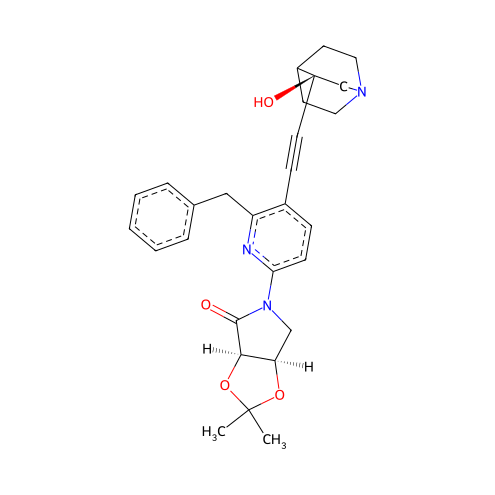 CC1(C)O[C@@H]2CN(c3ccc(C#C[C@@]4(O)CN5CCC4CC5)c(Cc4ccccc4)n3)C(=O)[C@@H]2O1